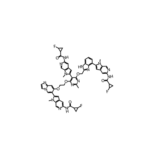 Cc1nc(OCCOc2cc3nccn3cc2-c2cc3cc(NC(=O)C4CC4F)ncc3n2C)c(-c2cc3cc(NC(=O)C4CC4F)ncc3n2C)c(OCc2nc3c(-c4cc5cc(NC(=O)C6CC6F)ncc5n4C)cccc3[nH]2)n1